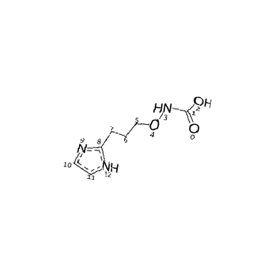 O=C(O)NOCCCc1ncc[nH]1